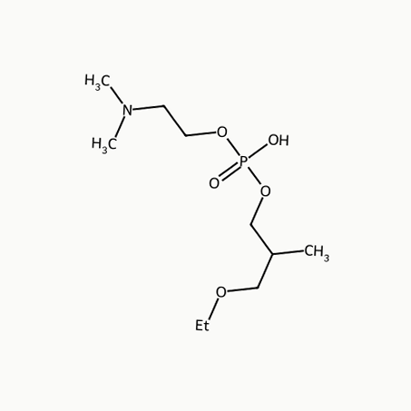 CCOCC(C)COP(=O)(O)OCCN(C)C